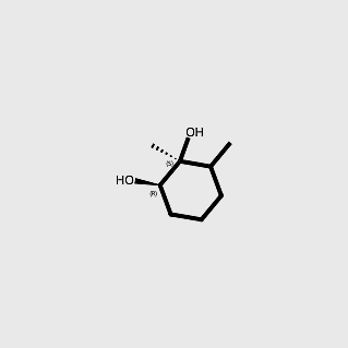 CC1CCC[C@@H](O)[C@@]1(C)O